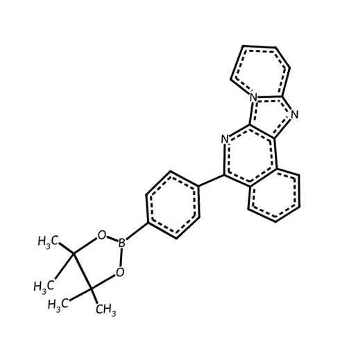 CC1(C)OB(c2ccc(-c3nc4c(nc5ccccn54)c4ccccc34)cc2)OC1(C)C